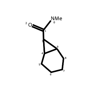 CNC(=O)C1C2CCCCC21